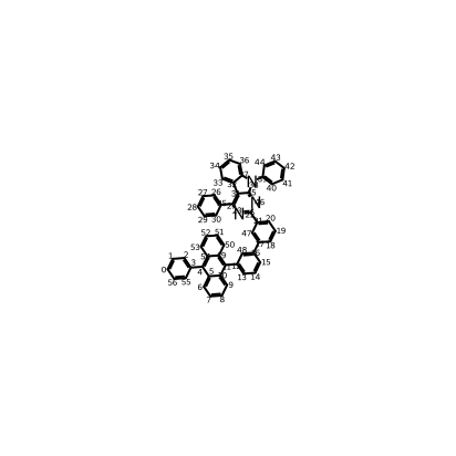 c1ccc(-c2c3ccccc3c(-c3cccc(-c4cccc(-c5nc(-c6ccccc6)c6c7ccccc7n(-c7ccccc7)c6n5)c4)c3)c3ccccc23)cc1